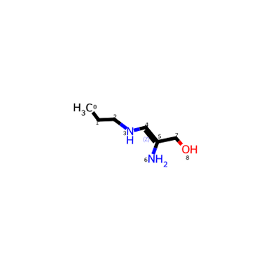 CCCN/C=C(\N)CO